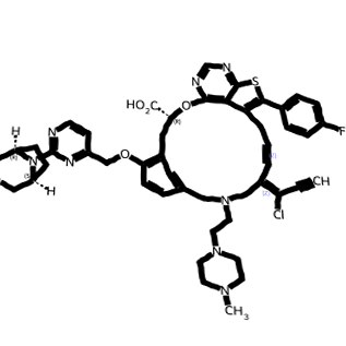 C#C/C(Cl)=C1\C=C/Cc2c(-c3ccc(F)cc3)sc3ncnc(c23)O[C@@H](C(=O)O)Cc2cc(ccc2OCc2ccnc(N3[C@@H]4CC[C@H]3COC4)n2)CN(CCN2CCN(C)CC2)C1